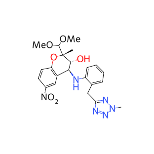 COC(OC)[C@@]1(C)Oc2ccc([N+](=O)[O-])cc2[C@H](Nc2ccccc2Cc2nnn(C)n2)[C@H]1O